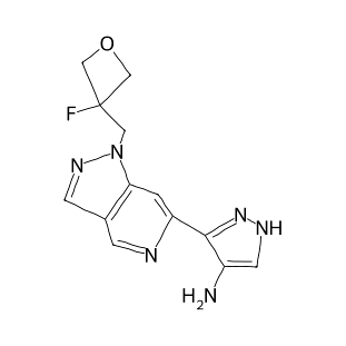 Nc1c[nH]nc1-c1cc2c(cn1)cnn2CC1(F)COC1